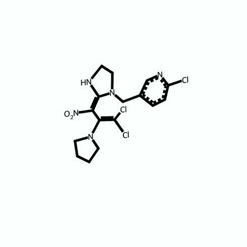 O=[N+]([O-])/C(C(=C(Cl)Cl)N1CCCC1)=C1\NCCN1Cc1ccc(Cl)nc1